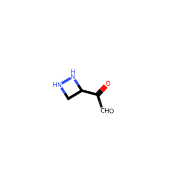 O=CC(=O)C1CNN1